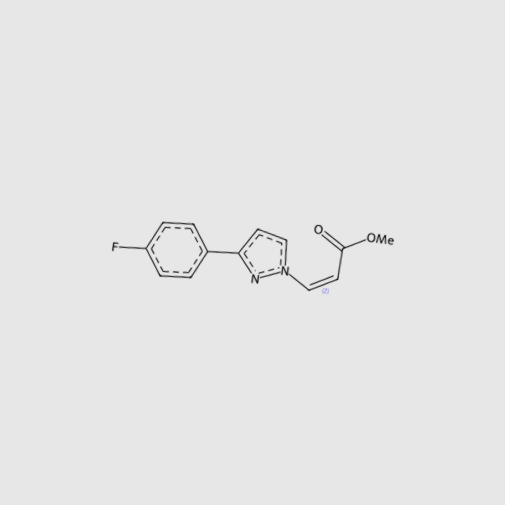 COC(=O)/C=C\n1ccc(-c2ccc(F)cc2)n1